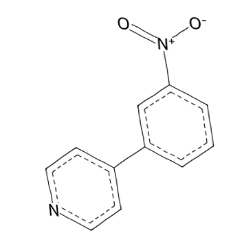 O=[N+]([O-])c1cccc(-c2ccncc2)c1